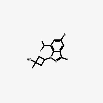 CC1(O)CC(n2nc(F)c3cc(Br)cc(C(F)F)c32)C1